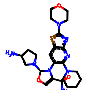 NC(=O)C1=CO[C@@H](N2CCC(N)C2)N1c1cc2sc(N3CCOCC3)nc2nc1N1CCCCC1